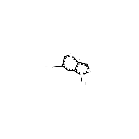 Cn1ncc2ncc(N)cc21